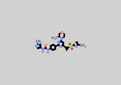 Cc1csc(S(=O)(=O)C2CC2c2cc(N3CCOC[C@@H]3C)nc(-c3ccc(NC(=O)Nc4cnn(C)c4)cc3)n2)n1